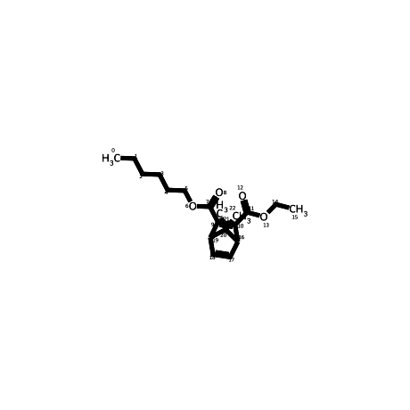 CCCCCCOC(=O)C1=C(C(=O)OCC)C2C=CC1C2(C)C